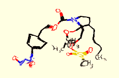 CCCCC1CCN(C(=O)OCc2ccc([N+](=O)[O-])cc2)C1(COS(C)(=O)=O)O[SiH](C)C